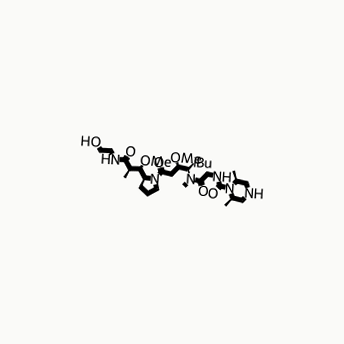 CC[C@H](C)[C@@H]([C@@H](CC(=O)N1CCC[C@H]1[C@H](OC)[C@@H](C)C(=O)NCCO)OC)N(C)C(=O)CNC(=O)N1[C@H](C)CNC[C@@H]1C